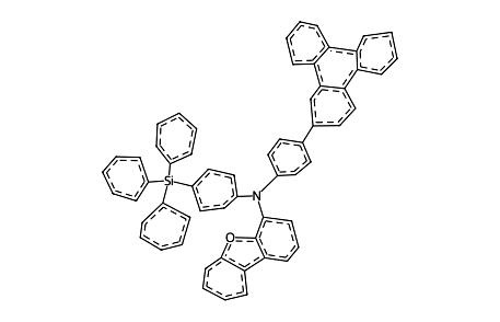 c1ccc([Si](c2ccccc2)(c2ccccc2)c2ccc(N(c3ccc(-c4ccc5c6ccccc6c6ccccc6c5c4)cc3)c3cccc4c3oc3ccccc34)cc2)cc1